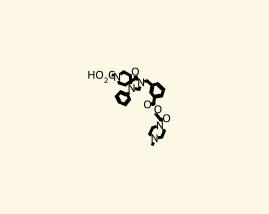 CN1CCN(C(=O)COC(=O)c2cccc(CN3CN(c4ccccc4)C4(CCN(C(=O)O)CC4)C3=O)c2)CC1